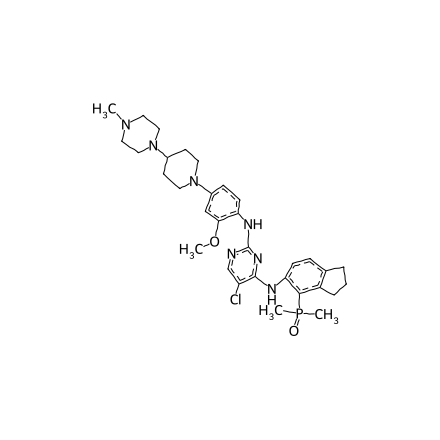 COc1cc(N2CCC(N3CCN(C)CC3)CC2)ccc1Nc1ncc(Cl)c(Nc2ccc3c(c2P(C)(C)=O)CCC3)n1